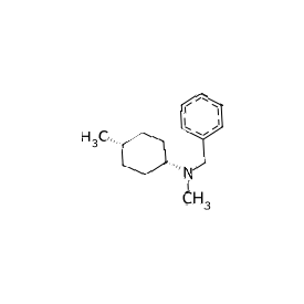 CN(Cc1ccccc1)[C@H]1CC[C@@H](C)CC1